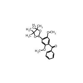 COc1cc(C(=O)c2ccccc2)c(OC)cc1B1OC(C)(C)C(C)(C)O1